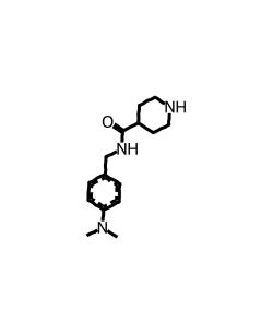 CN(C)c1ccc(CNC(=O)C2CCNCC2)cc1